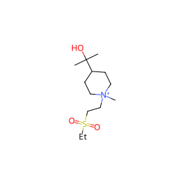 CCS(=O)(=O)CC[N+]1(C)CCC(C(C)(C)O)CC1